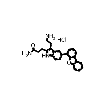 Cl.NCCc1c(CCC(N)=O)[nH]c2ccc(-c3cccc4c3oc3ccccc34)cc12